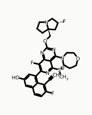 C#Cc1c(F)ccc2cc(O)cc(-c3nc([S+](C)[O-])c4c(N5CCCOCC5)nc(OC[C@@]56CCCN5C[C@H](F)C6)nc4c3F)c12